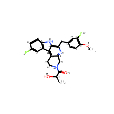 COc1ccc(Cc2nc3c(c4c2[nH]c2ccc(F)cc24)CCN(C(=O)C(C)O)C3)cc1F